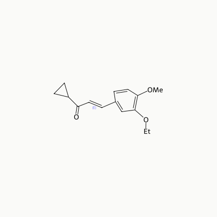 CCOc1cc(/C=C/C(=O)C2CC2)ccc1OC